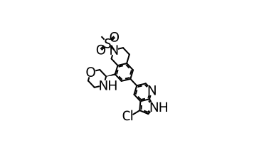 CS(=O)(=O)N1CCc2cc(-c3cnc4[nH]cc(Cl)c4c3)cc([C@@H]3COCCN3)c2C1